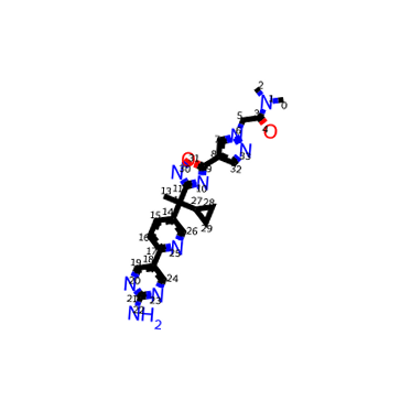 CN(C)C(=O)Cn1cc(-c2nc(C(C)(c3ccc(-c4cnc(N)nc4)nc3)C3CC3)no2)cn1